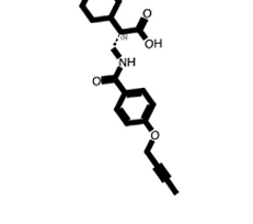 CC#CCOc1ccc(C(=O)NC[C@@H](C(=O)O)C2CCCCC2)cc1